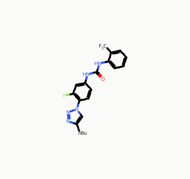 CCCCc1cn(-c2ccc(NC(=O)Nc3ccccc3C(F)(F)F)cc2F)nn1